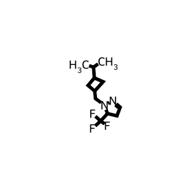 CC(C)C1CC(CN2N=CCC2C(F)(F)F)C1